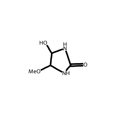 COC1NC(=O)NC1O